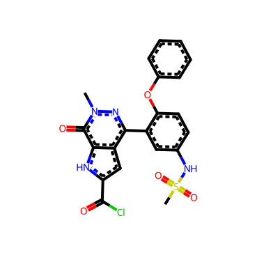 Cn1nc(-c2cc(NS(C)(=O)=O)ccc2Oc2ccccc2)c2cc(C(=O)Cl)[nH]c2c1=O